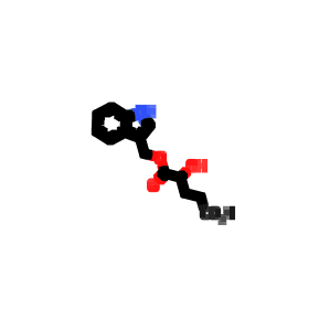 O=C(O)CCC(O)C(=O)OCc1c[nH]c2ccccc12